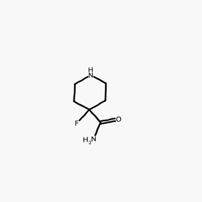 NC(=O)C1(F)CCNCC1